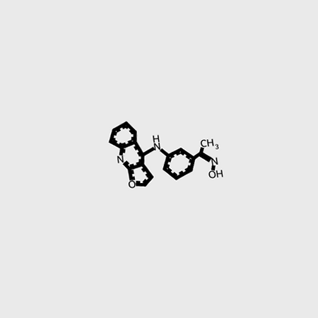 C/C(=N/O)c1cccc(Nc2c3ccccc3nc3occc23)c1